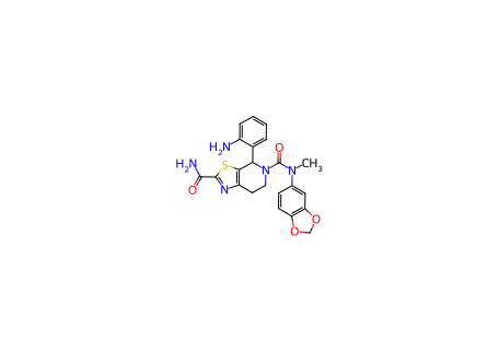 CN(C(=O)N1CCc2nc(C(N)=O)sc2C1c1ccccc1N)c1ccc2c(c1)OCO2